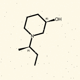 CC[C@@H](C)N1CCC[C@@H](O)C1